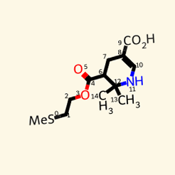 CSCCOC(=O)C1CC(C(=O)O)=CNC1(C)C